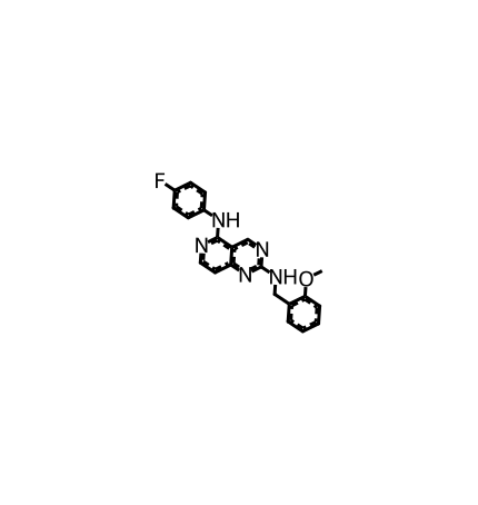 COc1ccccc1CNc1ncc2c(Nc3ccc(F)cc3)nccc2n1